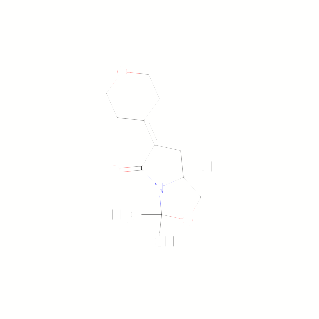 CC1(C)OC[C@@H]2CC(=C3CCOCC3)C(=O)N21